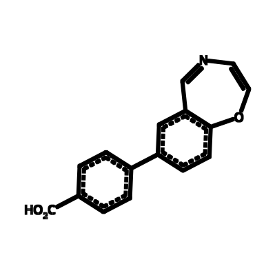 O=C(O)c1ccc(-c2ccc3c(c2)C=NC=CO3)cc1